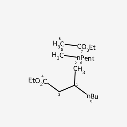 CCCCC(C)CC(=O)OCC.CCCCCC.CCOC(C)=O